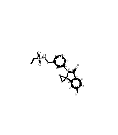 CCS(=O)(=O)NCc1cncc(N2C(=O)c3ccc(F)cc3C23CC3)c1